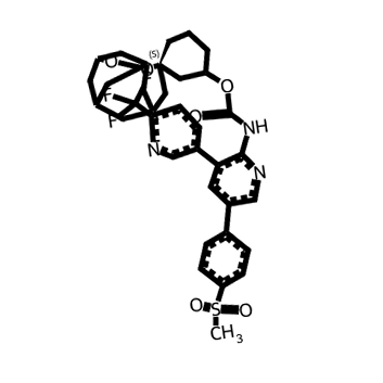 CS(=O)(=O)c1ccc(-c2cnc(NC(=O)OC3CCC[C@]4(CC5CC6CC(C5)CC(C6)OO4)C3)c(-c3ccc(C(F)(F)F)nc3)c2)cc1